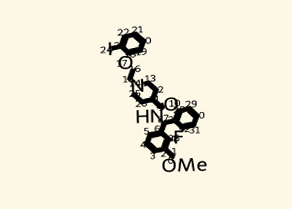 COCc1cccc(C(NC(=O)C2CCN(CCOc3ccccc3I)CC2)c2ccccc2F)c1